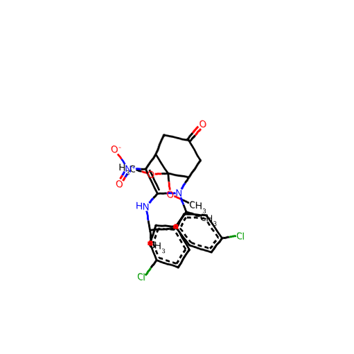 COC1(OC)C2CC(=O)CC1N(C(C)c1ccc(Cl)cc1)C(NC(C)c1ccc(Cl)cc1)=C2[N+](=O)[O-]